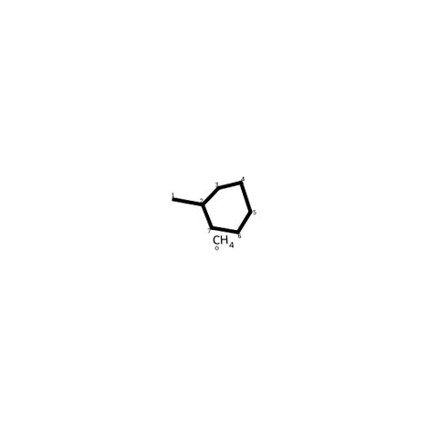 C.CC1CCCCC1